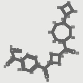 COC(=O)c1ccc(C(=O)N2CC(C(=O)N3CCCN(C4CCC4)CC3)C2)cn1